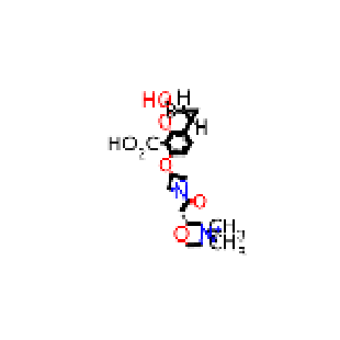 C[N+]1(C)CCO[C@H](CC(=O)N2CC(Oc3ccc4c(c3C(=O)O)OB(O)[C@H]3C[C@@H]43)C2)C1